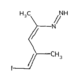 CC(=C/I)/C=C(/C)N=N